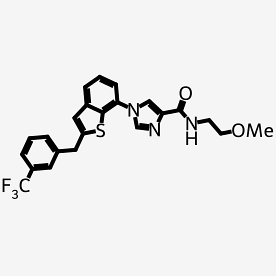 COCCNC(=O)c1cn(-c2cccc3cc(Cc4cccc(C(F)(F)F)c4)sc23)cn1